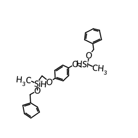 C[SiH](COc1ccc(OC[SiH](C)OCc2ccccc2)cc1)OCc1ccccc1